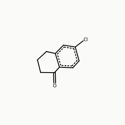 O=C1CCCc2cc(Cl)ccc21